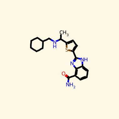 CC(NCC1CCCCC1)c1ccc(-c2nc3c(C(N)=O)cccc3[nH]2)s1